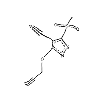 C#CCOc1nsc(S(C)(=O)=O)c1C#N